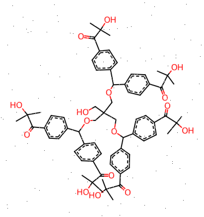 CC(C)(O)C(=O)c1ccc(C(OCC(CO)(COC(c2ccc(C(=O)C(C)(C)O)cc2)c2ccc(C(=O)C(C)(C)O)cc2)COC(c2ccc(C(=O)C(C)(C)O)cc2)c2ccc(C(=O)C(C)(C)O)cc2)c2ccc(C(=O)C(C)(C)O)cc2)cc1